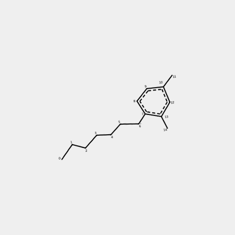 CCCCCC[CH]c1ccc(C)cc1C